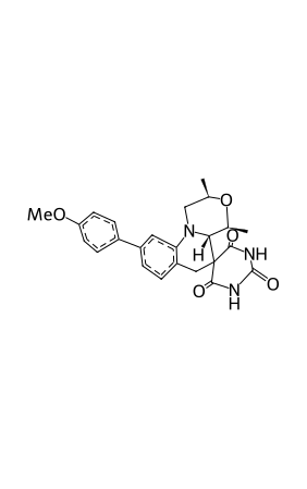 COc1ccc(-c2ccc3c(c2)N2C[C@@H](C)O[C@@H](C)[C@@H]2C2(C3)C(=O)NC(=O)NC2=O)cc1